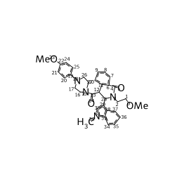 COCCN1C(=O)c2ccccc2C(C(=O)N2CCN(c3ccc(OC)cc3)CC2)C1c1cn(C)c2ccccc12